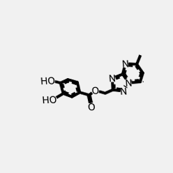 Cc1c[c]n2nc(COC(=O)c3ccc(O)c(O)c3)nc2n1